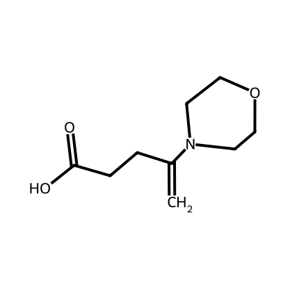 C=C(CCC(=O)O)N1CCOCC1